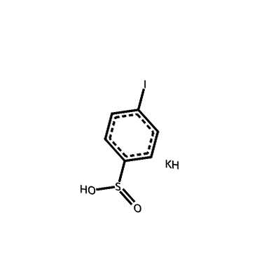 O=S(O)c1ccc(I)cc1.[KH]